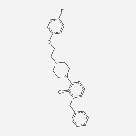 O=c1c(N2CCN(CCOc3ccc(F)cc3)CC2)nccn1Cc1ccccc1